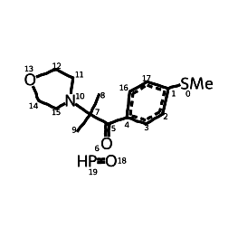 CSc1ccc(C(=O)C(C)(C)N2CCOCC2)cc1.O=P